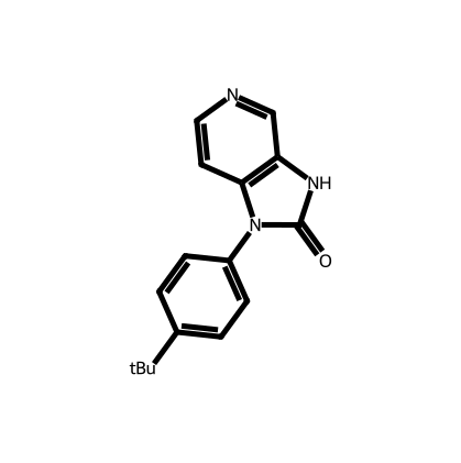 CC(C)(C)c1ccc(-n2c(=O)[nH]c3cnccc32)cc1